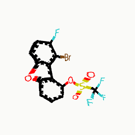 O=S(=O)(Oc1cccc2oc3ccc(F)c(Br)c3c12)C(F)(F)F